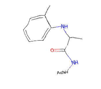 CC(=O)NNC(=O)C(C)Nc1ccccc1C